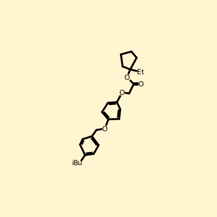 CCC(C)c1ccc(COc2ccc(OCC(=O)OC3(CC)CCCC3)cc2)cc1